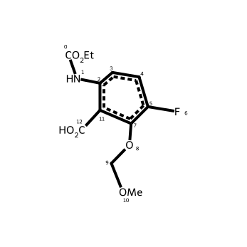 CCOC(=O)Nc1ccc(F)c(OCOC)c1C(=O)O